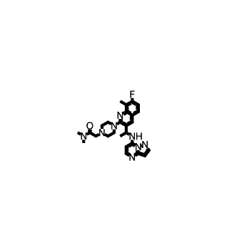 Cc1c(F)ccc2cc(C(C)Nc3ccnc4ccnn34)c(N3CCN(CC(=O)N(C)C)CC3)nc12